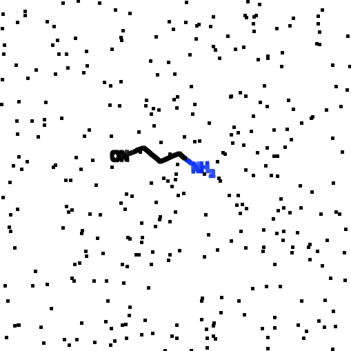 NCCCN=O